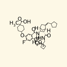 COc1cc(F)c(OC2CCC(C)(C(=O)O)CC2)cc1C(=O)N[C@@H]1[C@H]2C/C(=C/C3CCCC3)[C@H](C2)[C@@H]1C(=O)NCC1(C)CCC1